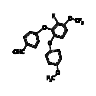 O=[C]c1ccc(Oc2c(Oc3ccc(OC(F)(F)F)cc3)ccc(OC(F)(F)F)c2F)cc1